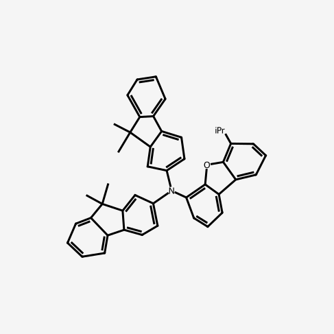 CC(C)c1cccc2c1oc1c(N(c3ccc4c(c3)C(C)(C)c3ccccc3-4)c3ccc4c(c3)C(C)(C)c3ccccc3-4)cccc12